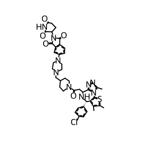 Cc1sc2c(c1C)[C@H](c1ccc(Cl)cc1)NC(CC(=O)N1CCC(CN3CCN(c4ccc5c(c4)C(=O)N(C4CCC(=O)NC4=O)C5=O)CC3)CC1)c1nnc(C)n1-2